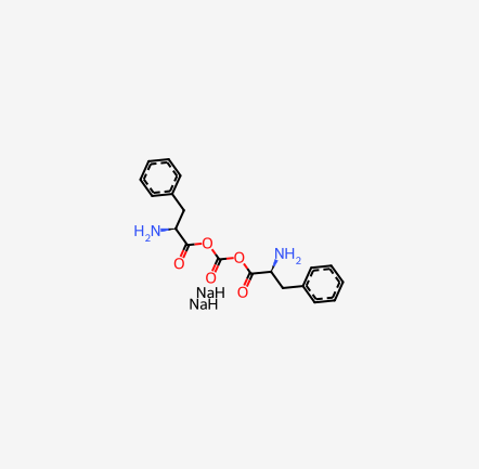 N[C@@H](Cc1ccccc1)C(=O)OC(=O)OC(=O)[C@@H](N)Cc1ccccc1.[NaH].[NaH]